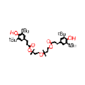 CC(C)(CCOC(=O)CCc1cc(C(C)(C)C)c(O)c(C(C)(C)C)c1)OCCC(C)(C)OC(=O)CCc1cc(C(C)(C)C)c(O)c(C(C)(C)C)c1